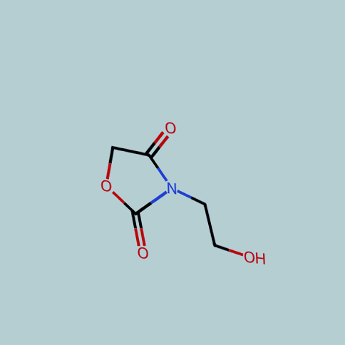 O=C1COC(=O)N1CCO